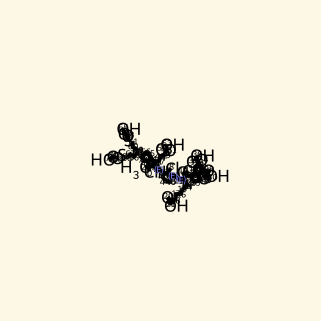 CC1(C)C(/C=C/C2=C(Cl)C(=C/C=C3/N(CCCCCC(=O)O)c4ccc5c(S(=O)(=O)O)cc(S(=O)(=O)O)cc5c4C3(C)C)/CCC2)=[N+](CCCS(=O)(=O)O)c2ccc(N(CCCSOOO)CCCSOOO)cc21